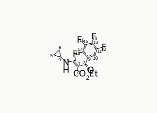 CCOC(=O)C(=CNC1CC1)C(=O)c1cc(F)c(F)c(F)c1F